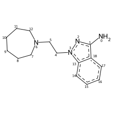 Nc1nn(CCN2CCCCCC2)c2ccccc12